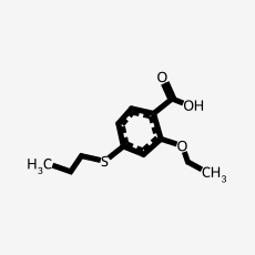 CCCSc1ccc(C(=O)O)c(OCC)c1